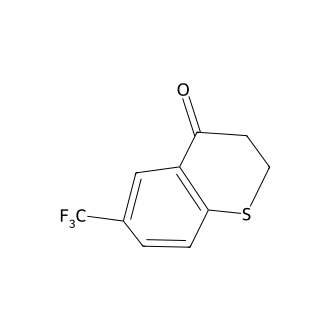 O=C1CCSc2ccc(C(F)(F)F)cc21